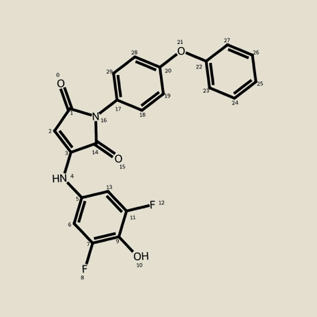 O=C1C=C(Nc2cc(F)c(O)c(F)c2)C(=O)N1c1ccc(Oc2ccccc2)cc1